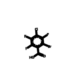 O=C(O)c1c(F)c(F)c(Cl)c(F)c1Br